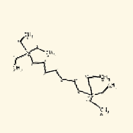 CC[Si](CC)(CC)CCCCCCC[Si](CC)(CC)CC